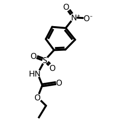 CCOC(=O)NS(=O)(=O)c1ccc([N+](=O)[O-])cc1